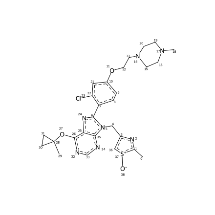 Cc1nc(Cn2c(-c3ccc(OCCN4CCN(C)CC4)cc3Cl)nc3c(OC4(C)CC4)ncnc32)c[s+]1[O-]